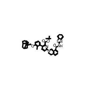 Cc1c(OCC23CC4CC(CC(C4)C2)C3)cccc1-c1ccc(N2CCc3cccc(C(=O)Nc4nc5ccccc5s4)c3C2)nc1C(=O)OC(C)(C)C